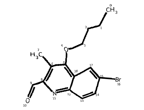 CCCCOc1c(C)c(C=O)nc2ccc(Br)cc12